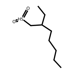 CCCCCC(CC)C[SH](=O)=O